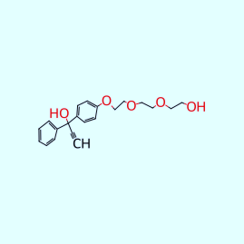 C#CC(O)(c1ccccc1)c1ccc(OCCOCCOCCO)cc1